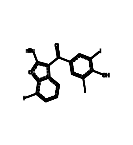 CCCCc1oc2c(F)cccc2c1C(=O)c1cc(I)c(O)c(I)c1